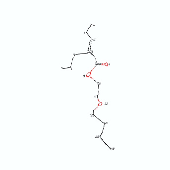 CC/C=C(\CCC)C(=O)OCCOCCCC